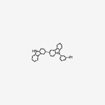 CC(C)c1cccc(-n2c3ccccc3c3cc(-c4ccc5[nH]c6ccccc6c5c4)ccc32)c1